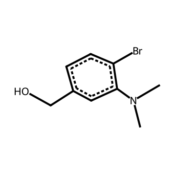 CN(C)c1cc(CO)ccc1Br